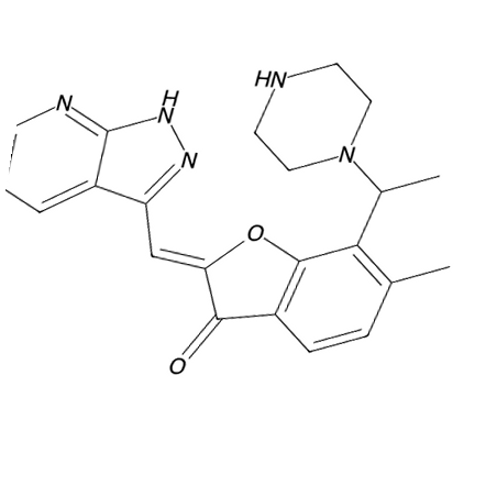 Cc1ccc2c(c1C(C)N1CCNCC1)O/C(=C\c1n[nH]c3ncccc13)C2=O